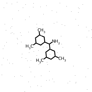 CC1CC(C)CC(C(N)C2CC(C)CC(C)C2)C1